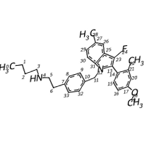 CCCCNCCc1ccc(Cn2c(-c3ccc(OC)cc3C)c(F)c3cc(C)ccc32)cc1